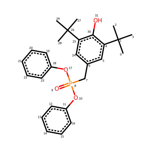 CC(C)(C)c1cc(CP(=O)(Oc2ccccc2)Oc2ccccc2)cc(C(C)(C)C)c1O